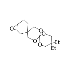 CCC1(CC)COC2(OC1)OCC1(CCC3OC3C1)CO2